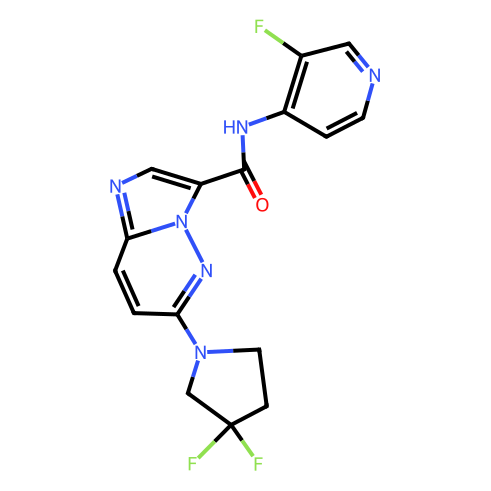 O=C(Nc1ccncc1F)c1cnc2ccc(N3CCC(F)(F)C3)nn12